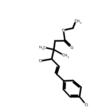 CCOC(=O)CC(C)(C)C(Cl)C=Cc1ccc(Cl)cc1